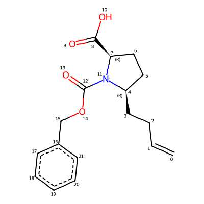 C=CCC[C@@H]1CC[C@H](C(=O)O)N1C(=O)OCc1ccccc1